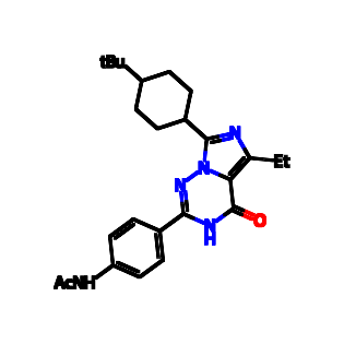 CCc1nc(C2CCC(C(C)(C)C)CC2)n2nc(-c3ccc(NC(C)=O)cc3)[nH]c(=O)c12